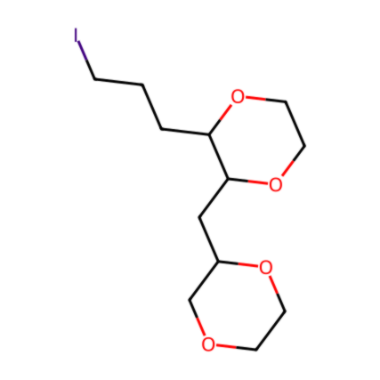 ICCCC1OCCOC1CC1COCCO1